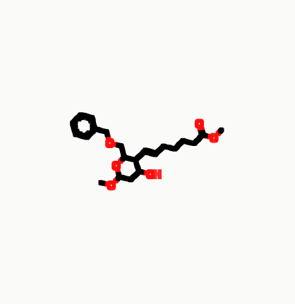 COC(=O)CCCCC=CC1C(O)CC(OC)OC1COCc1ccccc1